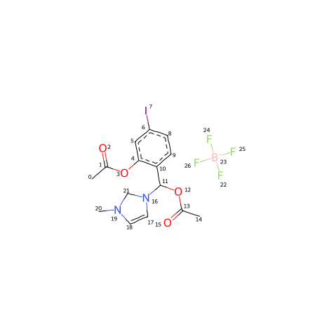 CC(=O)Oc1cc(I)ccc1C(OC(C)=O)N1C=CN(C)C1.F[B-](F)(F)F